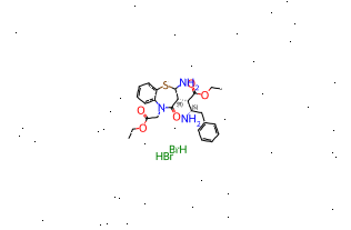 Br.Br.CCOC(=O)CN1C(=O)[C@@H](C(C(=O)OCC)[C@@H](N)Cc2ccccc2)C(N)Sc2ccccc21